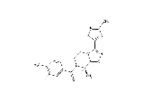 Cc1nsc(-c2nnc3n2CCN(C(=O)c2ccc(C)c(F)c2)[C@@H]3C)n1